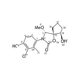 CO[C@H]1N(c2ccc(C#N)c(Cl)c2C)C(=O)O[C@]12CCC[C@H]2O